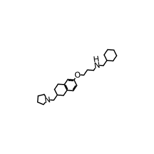 c1cc2c(cc1OCCCNCC1CCCCC1)CCC(CN1CCCC1)C2